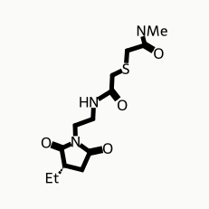 CC[C@H]1CC(=O)N(CCNC(=O)CSCC(=O)NC)C1=O